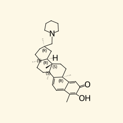 CC1=C(O)C(=O)C=C2C1=CC=C1[C@@]2(C)CC[C@@]2(C)[C@@H]3C[C@](C)(CN4CCCCC4)CC[C@]3(C)CC[C@]12C